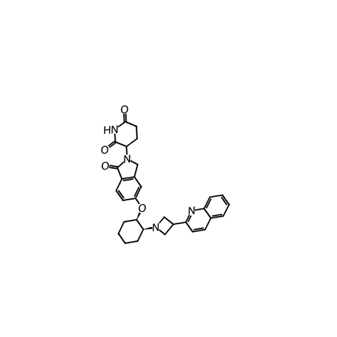 O=C1CCC(N2Cc3cc(O[C@@H]4CCCC[C@@H]4N4CC(c5ccc6ccccc6n5)C4)ccc3C2=O)C(=O)N1